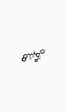 O=C(NC[C@H](O)CN1CCc2ccccc2C1)C1=CC(NC2CCC2)=NC(N2CCOCC2)C1